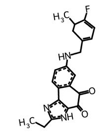 CCc1nc2c([nH]1)C(=O)C(=O)c1cc(NCC3=CC=C(F)C(C)C3)ccc1-2